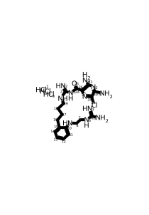 Cl.Cl.Cl.N=C(N)NCCNc1ccccc1CCCCNC(=N)NC(=O)c1nc(Cl)c(N)nc1N